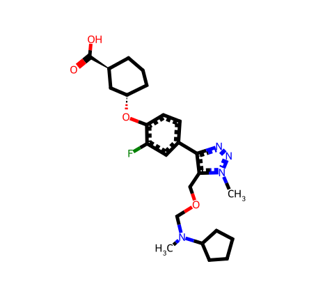 CN(COCc1c(-c2ccc(O[C@H]3CCC[C@H](C(=O)O)C3)c(F)c2)nnn1C)C1CCCC1